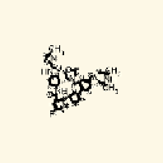 Cc1csc(C(=O)NC2CCC(NC(=O)c3cc(F)cnc3Oc3cccc(-c4ccc(CN5C[C@@H](C)N[C@@H](C)C5)cc4CN4CCOCC4)c3)CC2)n1